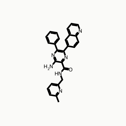 Cc1cccc(CNC(=O)c2nc(-c3ccc4ncccc4c3)c(-c3ccccc3)nc2N)n1